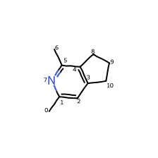 Cc1cc2c(c(C)n1)CCC2